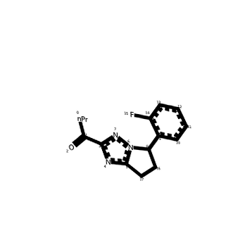 CCCC(=O)c1nc2n(n1)C(c1ccccc1F)CC2